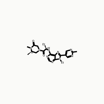 CC[C@@H](Nc1ncnc2c1nc(-c1cnc(C)nc1)n2CC)C(=O)N1CC(=O)N(C)[C@H](C)C1